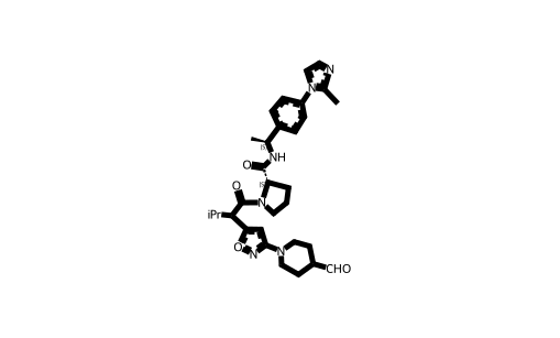 Cc1nccn1-c1ccc([C@H](C)NC(=O)[C@@H]2CCCN2C(=O)C(c2cc(N3CCC(C=O)CC3)no2)C(C)C)cc1